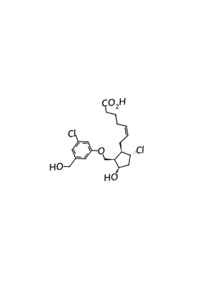 O=C(O)CCC/C=C\C[C@@H]1[C@H](COc2cc(Cl)cc(CO)c2)[C@H](O)C[C@H]1Cl